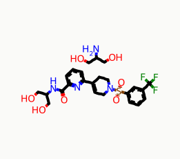 NC(CO)CO.O=C(NC(CO)CO)c1cccc(C2=CCN(S(=O)(=O)c3cccc(C(F)(F)F)c3)CC2)n1